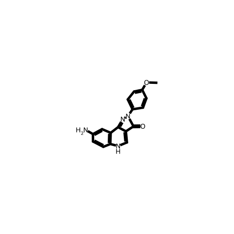 COc1ccc(-n2nc3c4cc(N)ccc4[nH]cc-3c2=O)cc1